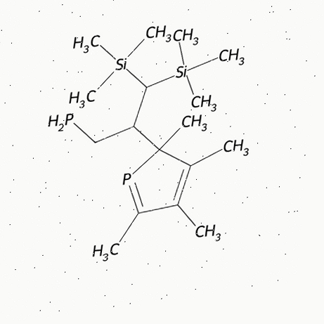 CC1=PC(C)(C(CP)C([Si](C)(C)C)[Si](C)(C)C)C(C)=C1C